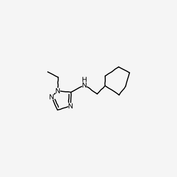 CCn1ncnc1NCC1CCCCC1